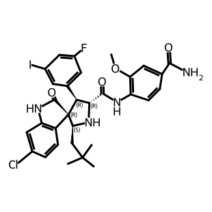 COc1cc(C(N)=O)ccc1NC(=O)[C@@H]1N[C@@H](CC(C)(C)C)[C@@]2(C(=O)Nc3cc(Cl)ccc32)[C@H]1c1cc(F)cc(I)c1